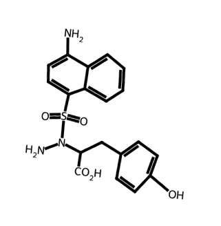 Nc1ccc(S(=O)(=O)N(N)C(Cc2ccc(O)cc2)C(=O)O)c2ccccc12